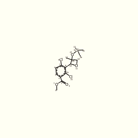 COC(=O)c1ccc(Cl)c(C2OCC2(C)O[Si](C)(C)C)c1Cl